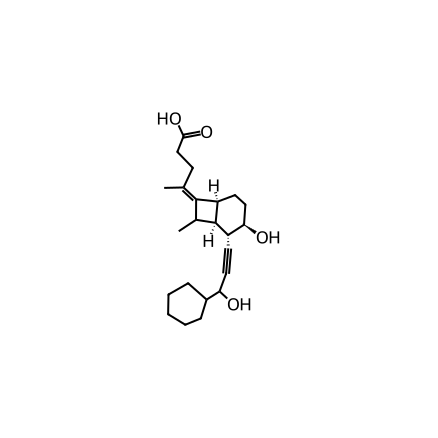 C/C(CCC(=O)O)=C1\C(C)[C@@H]2[C@@H](C#CC(O)C3CCCCC3)[C@H](O)CC[C@H]12